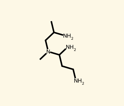 CC(N)CN(C)C(N)CCN